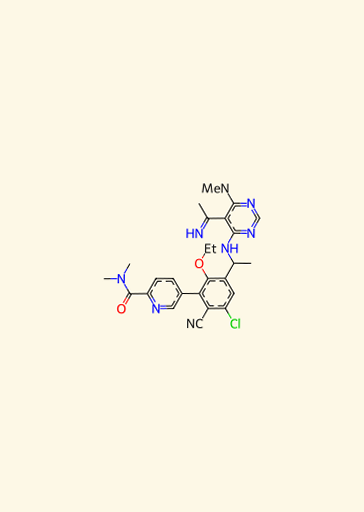 CCOc1c(C(C)Nc2ncnc(NC)c2C(C)=N)cc(Cl)c(C#N)c1-c1ccc(C(=O)N(C)C)nc1